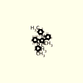 Cc1ccc(-n2c3c(c4ccccc42)C(C)(C)c2c-3c3ccccc3n2-c2ccc(C)cc2)cc1